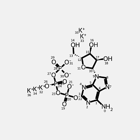 Nc1ncnc2c1ncn2[C@@H]1O[C@H](CO)[C@@H](O)[C@H]1O.O=P([O-])([O-])OP(=O)([O-])OP(=O)([O-])[O-].[K+].[K+].[K+].[K+].[K+]